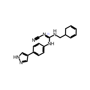 N#C/N=C(/NCC1C=CC=CC1)Nc1ccc(-c2cn[nH]c2)cc1